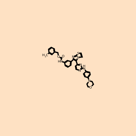 Cc1cccc(COC(=O)Nc2cccc(-c3nc4sccn4c3-c3ccnc(Nc4ccc(N5CCOCC5)cc4)n3)c2)c1